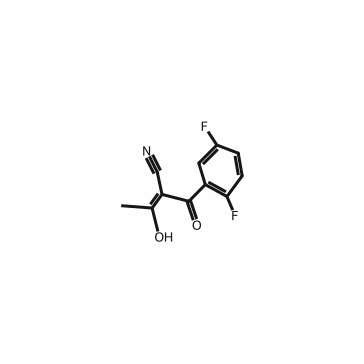 C/C(O)=C(\C#N)C(=O)c1cc(F)ccc1F